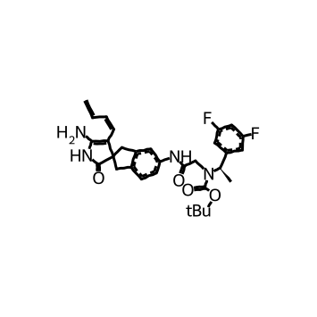 C=C/C=C\C1=C(N)NC(=O)C12Cc1ccc(NC(=O)CN(C(=O)OC(C)(C)C)[C@H](C)c3cc(F)cc(F)c3)cc1C2